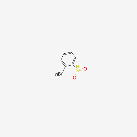 CCCCc1ccccc1[SH](=O)=O